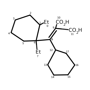 CCC1CCCCC1(CC)C(=C(C(=O)O)C(=O)O)C1CCCCC1